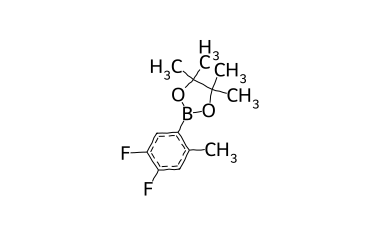 Cc1cc(F)c(F)cc1B1OC(C)(C)C(C)(C)O1